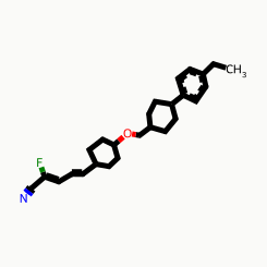 CCc1ccc(C2CCC(COC3CCC(C=CC=C(F)C#N)CC3)CC2)cc1